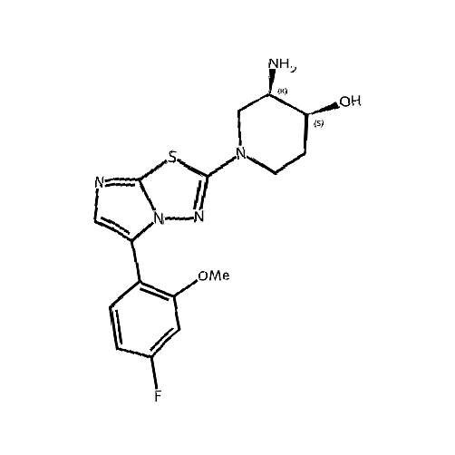 COc1cc(F)ccc1-c1cnc2sc(N3CC[C@H](O)[C@H](N)C3)nn12